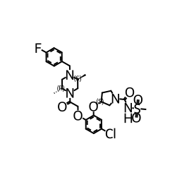 C[C@@H]1CN(Cc2ccc(F)cc2)[C@@H](C)CN1C(=O)COc1ccc(Cl)cc1O[C@H]1CCN(C(=O)NS(C)(=O)=O)C1